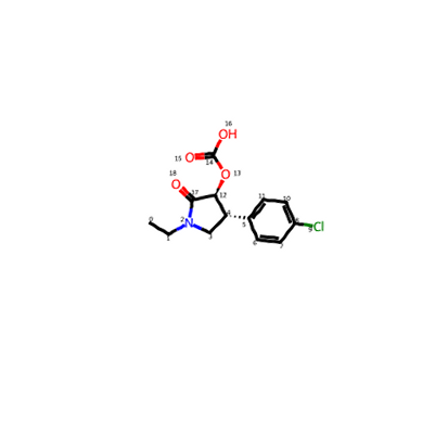 CCN1C[C@@H](c2ccc(Cl)cc2)[C@H](OC(=O)O)C1=O